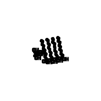 C=CCCCCCCCCC(=O)O.C=CCCCCCCCCC(=O)O.C=CCCCCCCCCC(=O)O.C=CCCCCCCCCC(=O)O.OCC(CO)(CO)CO